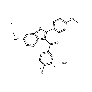 COc1ccc(-c2sc3cc(OC)ccc3c2C(=O)c2ccc([O-])cc2)cc1.[Na+]